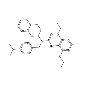 CCSc1cc(C)nc(SCC)c1NC(=O)N(Cc1ccc(C(C)C)cc1)C1CCc2ccccc2C1